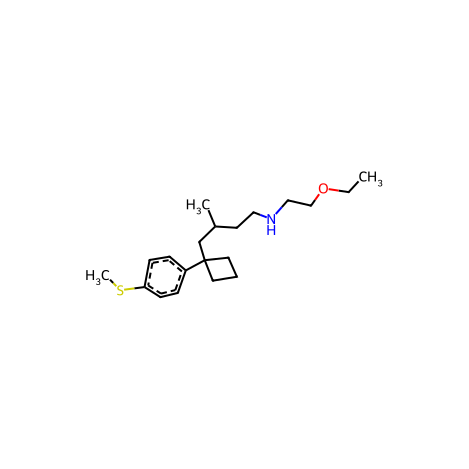 CCOCCNCCC(C)CC1(c2ccc(SC)cc2)CCC1